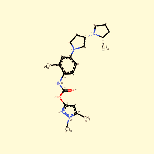 Cc1cc(N2CC[C@H](N3CCC[C@@H]3C)C2)ccc1NC(=O)Oc1cc(C)n(C)n1